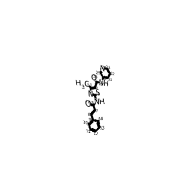 Cc1nc(NC(=O)C=Cc2ccccc2)sc1C(=O)Nc1cccnc1